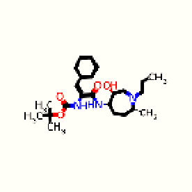 CCCN1C[C@H](O)[C@@H](NC(=O)/C(=C\C2CCCCC2)NC(=O)OC(C)(C)C)CC[C@H]1C